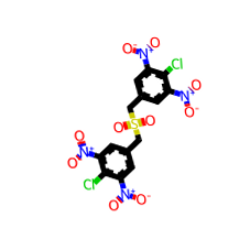 O=[N+]([O-])c1cc(CS(=O)(=O)Cc2cc([N+](=O)[O-])c(Cl)c([N+](=O)[O-])c2)cc([N+](=O)[O-])c1Cl